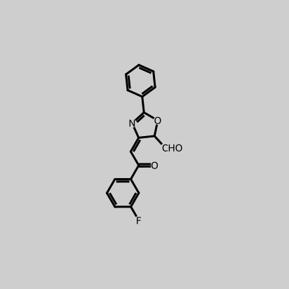 O=CC1OC(c2ccccc2)=N/C1=C/C(=O)c1cccc(F)c1